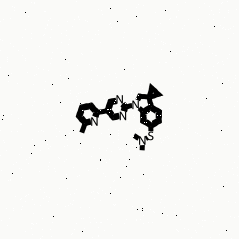 Cc1cccc(-c2cnc(N3CC4(CC4)c4ccc(SN(C)C)cc43)nc2)n1